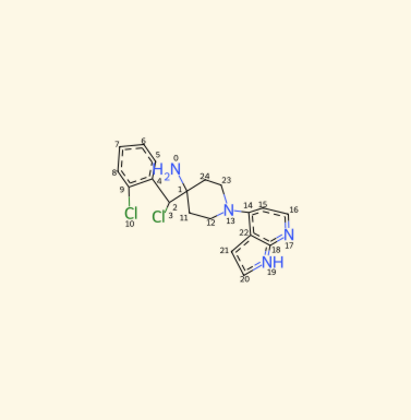 NC1(C(Cl)c2ccccc2Cl)CCN(c2ccnc3[nH]ccc23)CC1